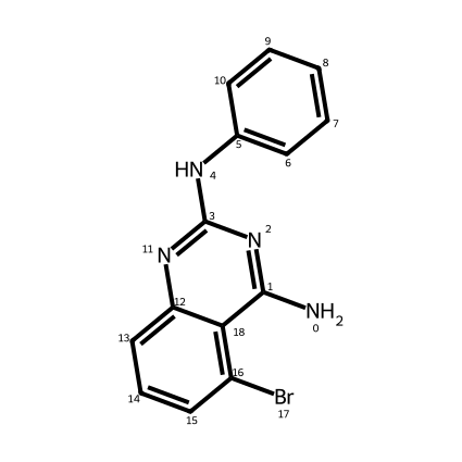 Nc1nc(Nc2ccccc2)nc2cccc(Br)c12